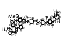 COc1cc(C(=O)NN2CCC(CCN3CCN(c4cc(F)c(NC5CCC(=O)NC5=O)cc4F)CC3)CC2)ccc1Nc1ncc2c(n1)N(C1CCCC1)CC(F)(F)C(=O)N2C